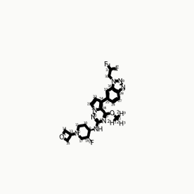 [2H]C([2H])([2H])Oc1nc(N[C@@H]2CCN(C3COC3)C[C@H]2F)nn2ccc(-c3ccc4nnn(CC(F)F)c4c3)c12